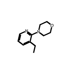 CCc1cccnc1N1CCOCC1